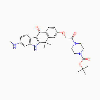 CNc1ccc2c3c([nH]c2c1)C(C)(C)c1cc(OCC(=O)N2CCN(C(=O)OC(C)(C)C)CC2)ccc1C3=O